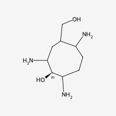 NC1CCC(N)[C@@H](O)C(N)CC1CO